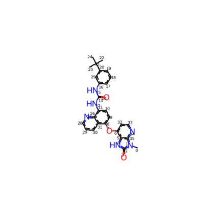 Cn1c(=O)[nH]c2c(Oc3ccc(NC(=O)Nc4cccc(C(C)(C)C)c4)c4ncccc34)ccnc21